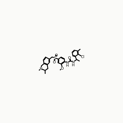 COc1cc(S(=O)(=O)Cc2ccc3c(c2)CC(C)N(C)C3)ccc1NC(=O)NC(C)c1cccc(C)c1Cl